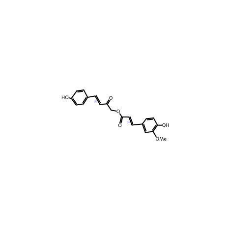 COc1cc(/C=C/C(=O)OCC(=O)/C=C/c2ccc(O)cc2)ccc1O